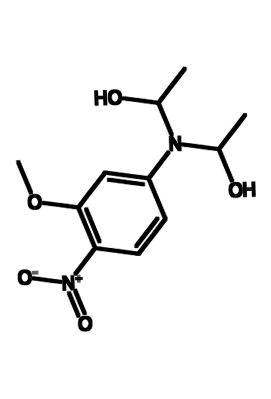 COc1cc(N(C(C)O)C(C)O)ccc1[N+](=O)[O-]